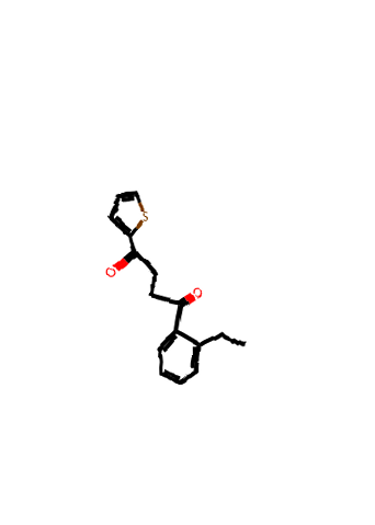 CCc1ccccc1C(=O)CCC(=O)c1cccs1